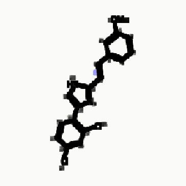 COc1cccc(/C=C/c2nc(-c3ccc(Cl)cc3Cl)c[nH]2)c1